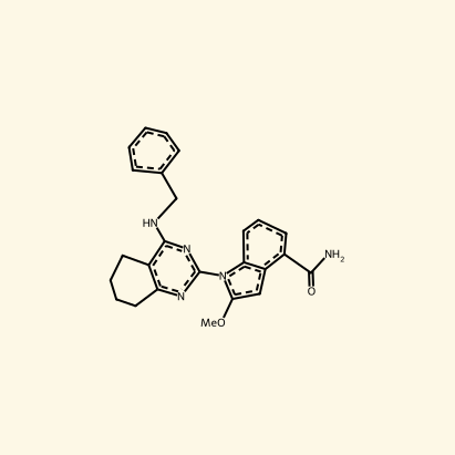 COc1cc2c(C(N)=O)cccc2n1-c1nc2c(c(NCc3ccccc3)n1)CCCC2